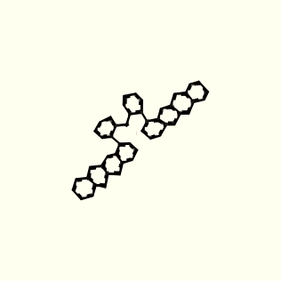 O=C(c1ccccc1-c1cccc2cc3cc4ccccc4cc3cc12)c1ccccc1-c1cccc2cc3cc4ccccc4cc3cc12